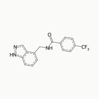 O=C(NCc1cccc2[nH]ncc12)c1ccc(C(F)(F)F)cc1